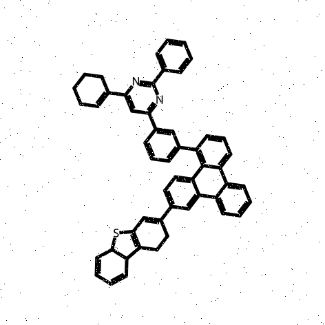 C1=CC2SC3=C(CCC(c4ccc5c(c4)c4ccccc4c4cccc(-c6cccc(-c7cc(C8=CCCCC8)nc(-c8ccccc8)n7)c6)c45)=C3)C2C=C1